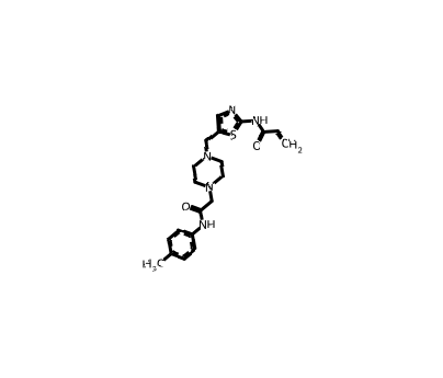 C=CC(=O)Nc1ncc(CN2CCN(CC(=O)Nc3ccc(C)cc3)CC2)s1